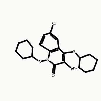 CCCc1c(SC2CCCCC2)c2cc(Cl)ccc2n(SC2CCCCC2)c1=O